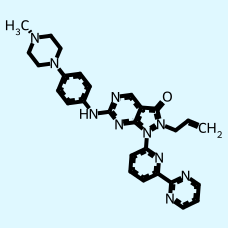 C=CCn1c(=O)c2cnc(Nc3ccc(N4CCN(C)CC4)cc3)nc2n1-c1cccc(-c2ncccn2)n1